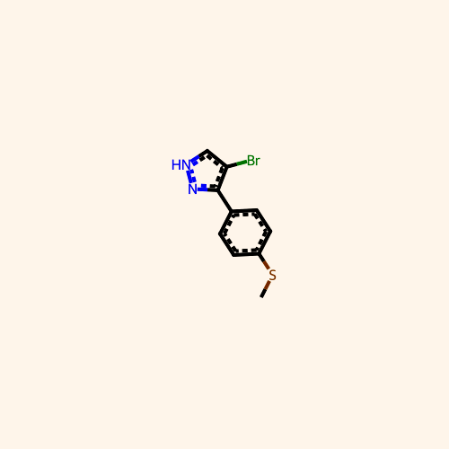 CSc1ccc(-c2n[nH]cc2Br)cc1